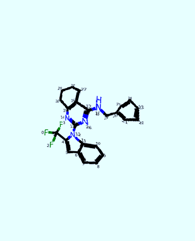 FC(F)(F)c1cc2ccccc2n1-c1nc2c(c(NCc3ccccc3)n1)CCCC2